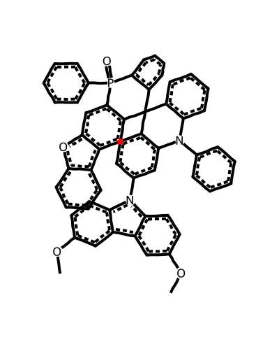 COc1ccc2c(c1)c1cc(OC)ccc1n2-c1ccc2c(c1)N(c1ccccc1)c1ccccc1C21c2ccccc2P(=O)(c2ccccc2)c2cc3oc4ccccc4c3cc21